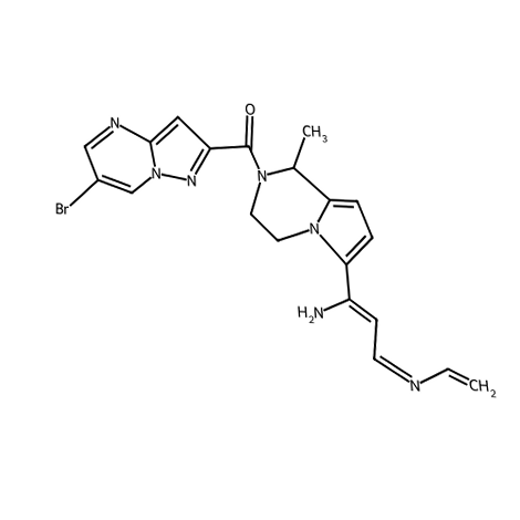 C=C/N=C\C=C(/N)c1ccc2n1CCN(C(=O)c1cc3ncc(Br)cn3n1)C2C